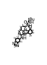 CC(C)(C)NC(=O)NC1=CC=C2C=NC(Nc3ccc4nsnc4c3)N=C2N1c1c(Cl)cccc1Cl